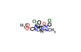 CCCCN1[C@H]2CCn3c(nc4cc(C(=O)OC)ccc43)[C@H]2[C@H](c2cccc(Cl)c2F)[C@@H]1C(=O)Nc1cccc(Cl)c1